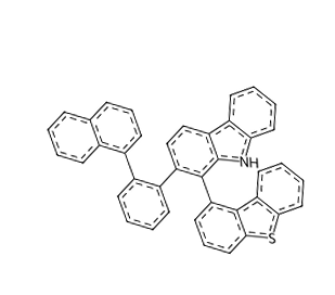 c1ccc(-c2cccc3ccccc23)c(-c2ccc3c([nH]c4ccccc43)c2-c2cccc3sc4ccccc4c23)c1